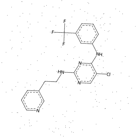 FC(F)(F)c1cccc(Nc2nc(NCCc3cccnc3)ncc2Cl)c1